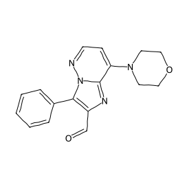 O=Cc1nc2c(N3CCOCC3)ccnn2c1-c1ccccc1